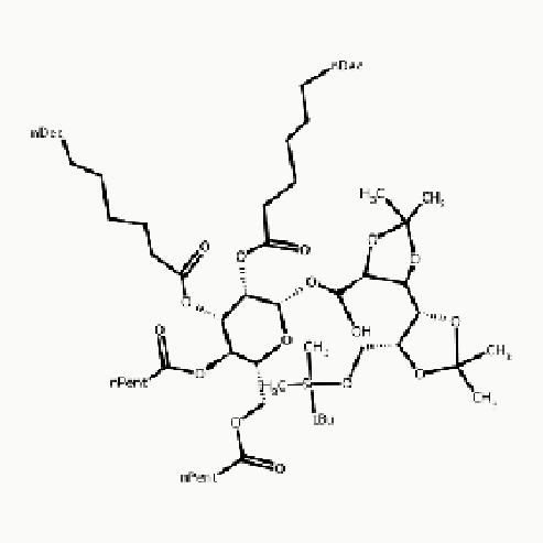 CCCCCCCCCCCCCCCC(=O)O[C@@H]1[C@H](OC(=O)CCCCCCCCCCCCCCC)[C@H](OC(O)[C@H]2OC(C)(C)O[C@H]2[C@@H]2OC(C)(C)O[C@@H]2CO[Si](C)(C)C(C)(C)C)O[C@H](COC(=O)CCCCC)[C@H]1OC(=O)CCCCC